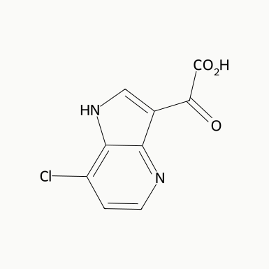 O=C(O)C(=O)c1c[nH]c2c(Cl)ccnc12